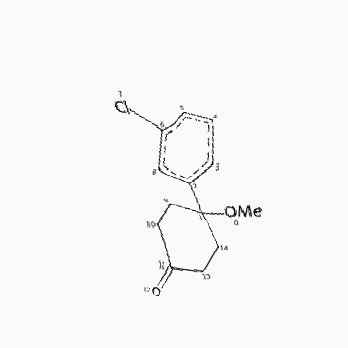 COC1(c2cccc(Cl)c2)CCC(=O)CC1